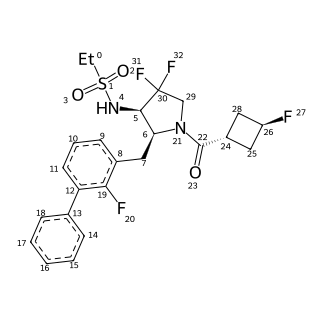 CCS(=O)(=O)N[C@@H]1[C@H](Cc2cccc(-c3ccccc3)c2F)N(C(=O)[C@H]2C[C@H](F)C2)CC1(F)F